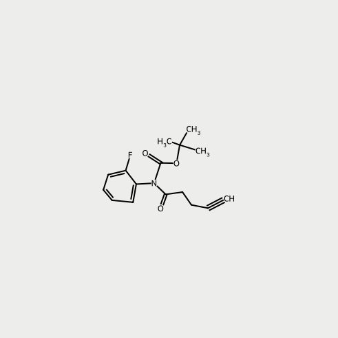 C#CCCC(=O)N(C(=O)OC(C)(C)C)c1ccccc1F